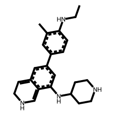 CCNc1ccc(-c2cc(NC3CCNCC3)c3c(c2)=CCNC=3)cc1C